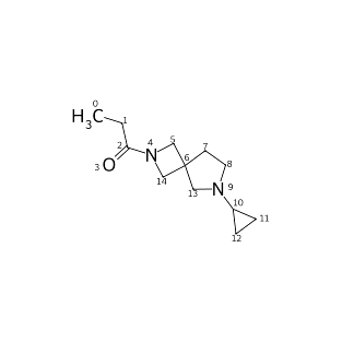 CCC(=O)N1CC2(CCN(C3CC3)C2)C1